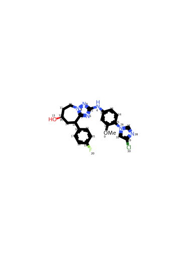 COc1cc(Nc2nc3n(n2)CC[C@H](O)CC3c2ccc(F)cc2)ccc1-n1cnc(Cl)c1